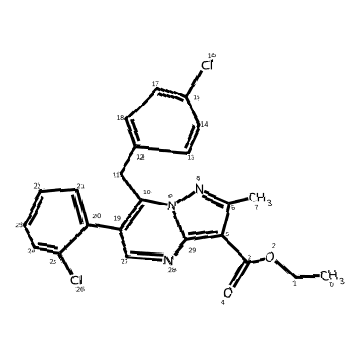 CCOC(=O)c1c(C)nn2c(Cc3ccc(Cl)cc3)c(-c3ccccc3Cl)cnc12